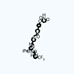 CC(C)Oc1cc2nc(C3CCN(CC(=O)N4CCC(c5ccc(OC6CCC(=O)NC6=O)cc5)CC4)CC3)cn2cc1NC(=O)c1cccc(C(F)(F)F)n1